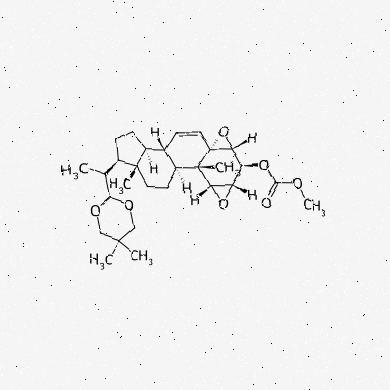 COC(=O)O[C@H]1[C@@H]2O[C@@H]2[C@]2(C)[C@H]3CC[C@]4(C)[C@@H](C(C)C5OCC(C)(C)CO5)CC[C@H]4[C@@H]3C=C[C@]23O[C@H]13